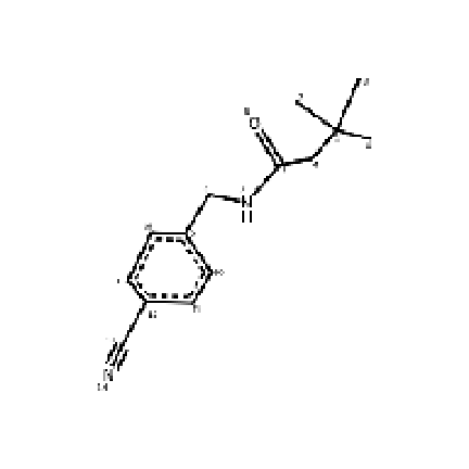 CC(C)(C)CC(=O)NCc1ccc(C#N)cc1